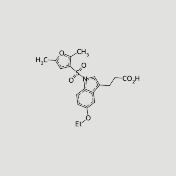 CCOc1ccc2c(c1)c(CCC(=O)O)cn2S(=O)(=O)c1cc(C)oc1C